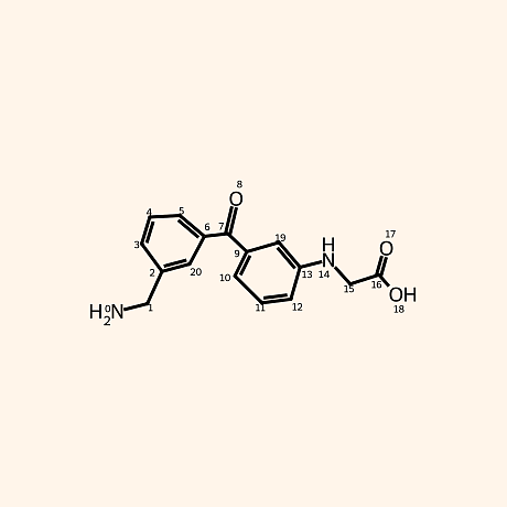 NCc1cccc(C(=O)c2cccc(NCC(=O)O)c2)c1